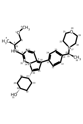 COC[C@H](C)Nc1ncc2c(-c3ccc([C@H](C)N4CCOCC4)cc3)cc([C@H]3CC[C@@H](O)CC3)n2n1